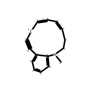 CN1CC/C=C\C=C/CC#Cc2ccccc21